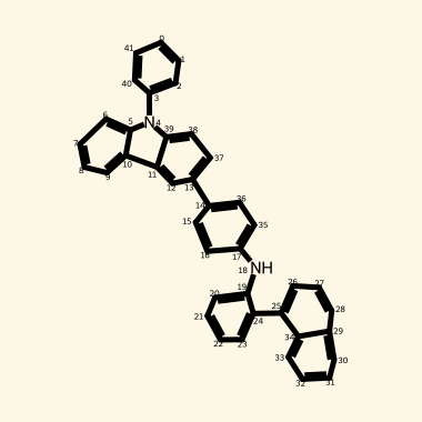 c1ccc(-n2c3ccccc3c3cc(-c4ccc(Nc5ccccc5-c5cccc6ccccc56)cc4)ccc32)cc1